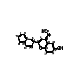 ON=c1cc(-c2cc3ccccc3cn2)oc2ccc(O)cc12